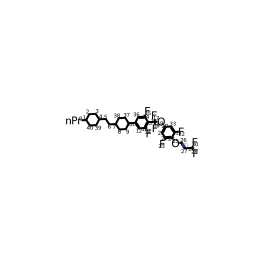 CCCC1CCC(CCC2CCC(c3cc(F)c(C(F)(F)Oc4cc(F)c(O/C=C/C(F)F)c(F)c4)c(F)c3)CC2)CC1